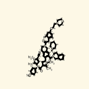 Cc1c(N(C(=O)c2cc(-c3cc4c(cc3C(=O)N3Cc5ccccc5C[C@H]3CN3CCCCC3)CN(C(=O)Cc3c(F)cc(OCCN5CCOCC5)cc3F)CC4)n(C)c2C)c2ccc(O)cc2)cc(C#N)n1C